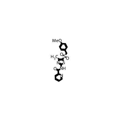 COc1ccc(CS(=O)(=O)c2sc(NC(=O)c3ccccn3)nc2C)cc1